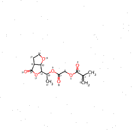 C=C(C)C(=O)OCC(=O)OC(C)C1OC(=O)C2CCOC21